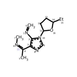 C=Nc1c(/C(C)=N\C)ncn1C1CCC(CC)O1